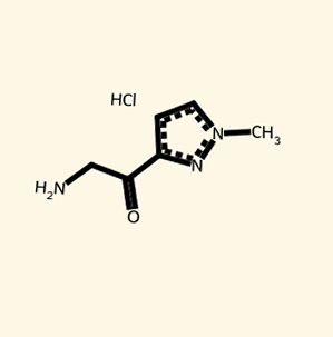 Cl.Cn1ccc(C(=O)CN)n1